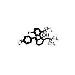 COc1ccc(F)cc1C1(O)C(=Cc2ccc(Cl)cc2)CCCC1CN(C)C